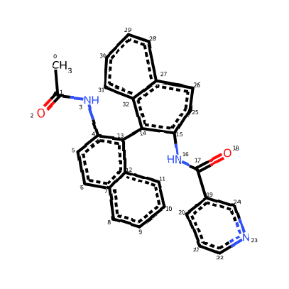 CC(=O)Nc1ccc2ccccc2c1-c1c(NC(=O)c2cccnc2)ccc2ccccc12